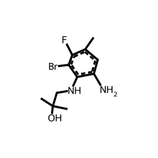 Cc1cc(N)c(NCC(C)(C)O)c(Br)c1F